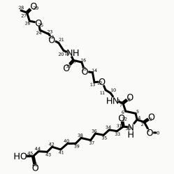 COC(=O)C(CCC(=O)NCCOCCOCC(=O)NCCOCCOCC(C)=O)NC(=O)CCCCCCCCCCCCC(=O)O